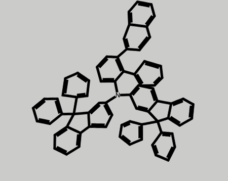 c1ccc(-c2c(-c3ccc4ccccc4c3)cccc2N(c2ccc3c(c2)C(c2ccccc2)(c2ccccc2)c2ccccc2-3)c2ccc3c(c2)C(c2ccccc2)(c2ccccc2)c2ccccc2-3)cc1